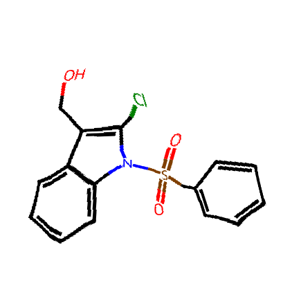 O=S(=O)(c1ccccc1)n1c(Cl)c(CO)c2ccccc21